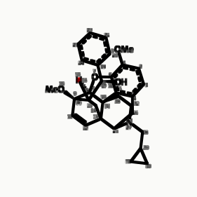 COc1ccc2c3c1O[C@@H]1[C@@]4(OC)C=CC5(CC4(C)[C@H](O)c4ccccc4)C(C2)N(CC2CC2)CC[C@]315